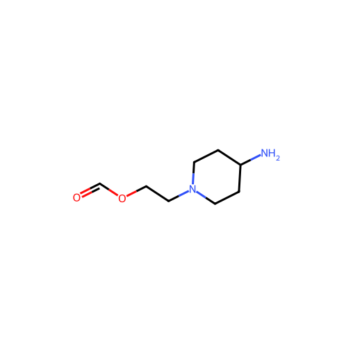 NC1CCN(CCOC=O)CC1